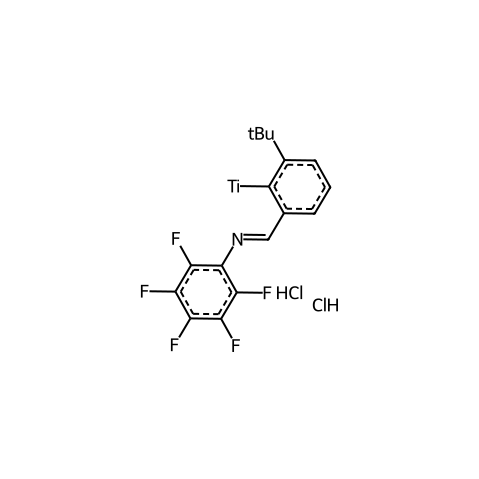 CC(C)(C)c1cccc(C=Nc2c(F)c(F)c(F)c(F)c2F)[c]1[Ti].Cl.Cl